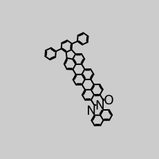 O=c1c2ccc3c4ccc5c6ccc7c8c(ccc(c9ccc(c%10ccc(c2c3%10)c2nc3cccc%10cccc(c%103)n12)c4c59)c86)-c1c(-c2ccccc2)ccc(-c2ccccc2)c1-7